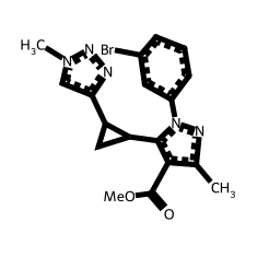 COC(=O)c1c(C)nn(-c2cccc(Br)c2)c1C1CC1c1cn(C)nn1